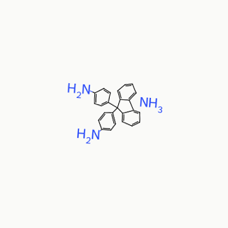 N.Nc1ccc(C2(c3ccc(N)cc3)c3ccccc3-c3ccccc32)cc1